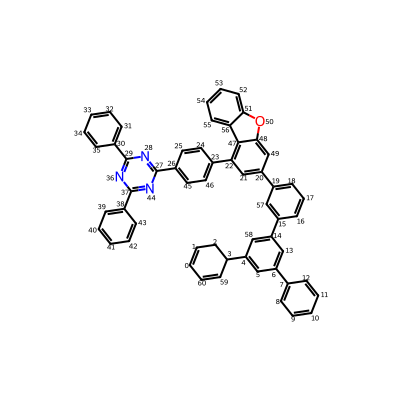 C1=CCC(c2cc(-c3ccccc3)cc(-c3cccc(-c4cc(-c5ccc(-c6nc(-c7ccccc7)nc(-c7ccccc7)n6)cc5)c5c(c4)oc4ccccc45)c3)c2)C=C1